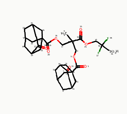 CC(COC(=O)C12CC3CC(C1)C(=O)C(C3)C2)(COC(=O)C12CC3CC(C1)C(=O)C(C3)C2)C(=O)OCC(F)(F)S(=O)(=O)O